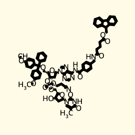 COc1ccc(C(OC[C@H]2O[C@@H](n3cnc4c(NC(=O)c5ccc(CNC(=O)CCCC(=O)OCC6c7ccccc7-c7ccccc76)cc5)ncnc43)C[C@H]2OP(=O)(OCCC#N)OC[C@H]2O[C@@H](n3cc(C)c(=O)[nH]c3=O)C[C@H]2O)(c2ccccc2)c2ccc(OC)cc2)cc1